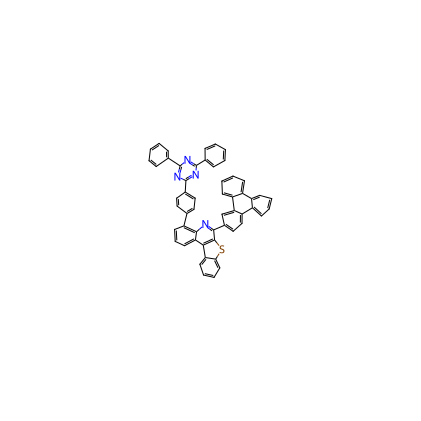 c1ccc(-c2nc(-c3ccccc3)nc(-c3ccc(-c4cccc5c4nc(-c4ccc6c7ccccc7c7ccccc7c6c4)c4sc6ccccc6c45)cc3)n2)cc1